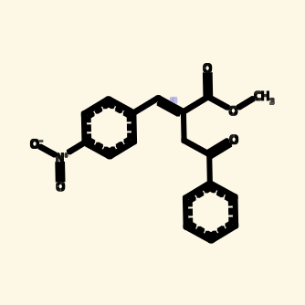 COC(=O)/C(=C/c1ccc([N+](=O)[O-])cc1)CC(=O)c1ccccc1